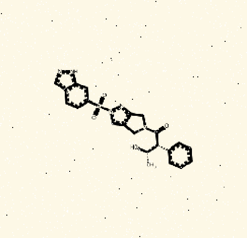 C[C@H](O)[C@H](C(=O)N1Cc2cn(S(=O)(=O)c3ccc4cn[nH]c4c3)nc2C1)c1ccccc1